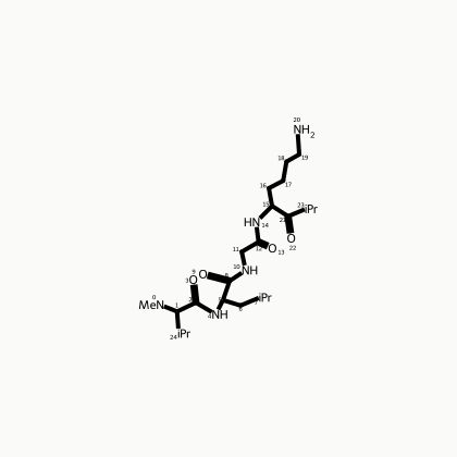 CNC(C(=O)NC(CC(C)C)C(=O)NCC(=O)NC(CCCCN)C(=O)C(C)C)C(C)C